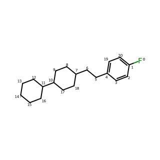 Fc1ccc(CCC2CCC(C3CC[CH]CC3)CC2)cc1